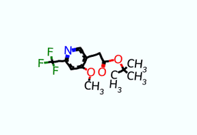 COc1cc(C(F)(F)F)ncc1CC(=O)OC(C)(C)C